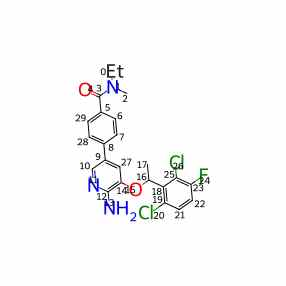 CCN(C)C(=O)c1ccc(-c2cnc(N)c(OC(C)c3c(Cl)ccc(F)c3Cl)c2)cc1